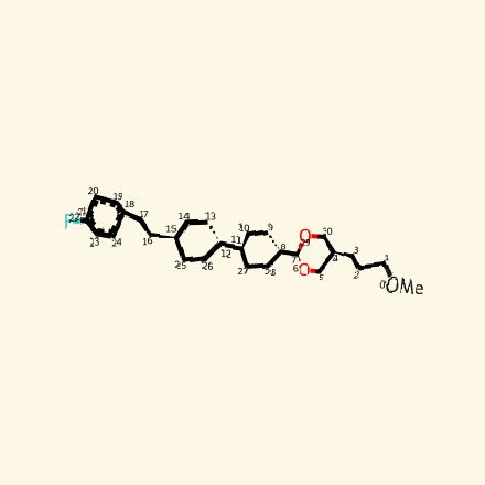 COCCC[C@H]1CO[C@H]([C@H]2CC[C@H]([C@H]3CC[C@H](CCc4ccc(F)cc4)CC3)CC2)OC1